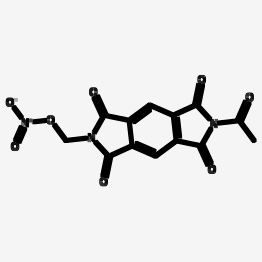 CC(=O)n1c(=O)c2cc3c(=O)n(CO[N+](=O)[O-])c(=O)c3cc2c1=O